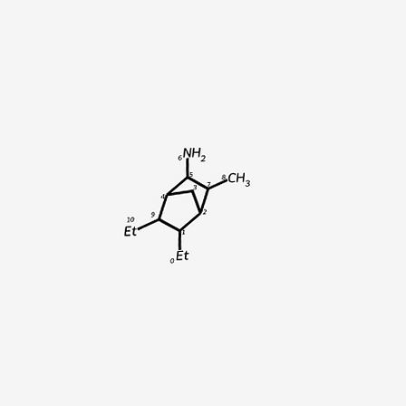 CCC1C2CC(C(N)C2C)C1CC